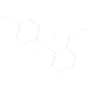 Cc1ccc(S(=O)(=O)c2ccccc2CO)cc1